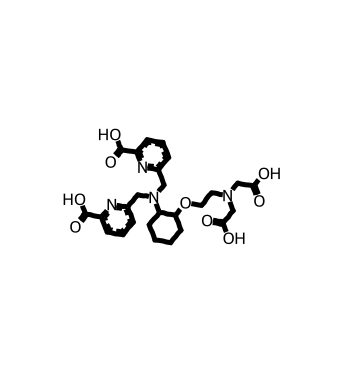 O=C(O)CN(CCOC1CCCCC1N(Cc1cccc(C(=O)O)n1)Cc1cccc(C(=O)O)n1)CC(=O)O